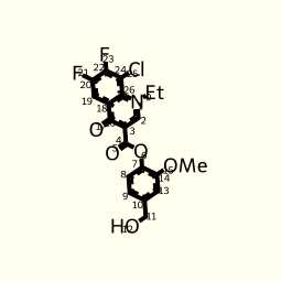 CCn1cc(C(=O)Oc2ccc(CO)cc2OC)c(=O)c2cc(F)c(F)c(Cl)c21